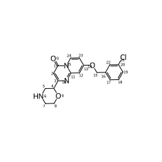 O=c1cc(C2CNCCO2)nc2cc(OCc3cccc(Cl)c3)ccn12